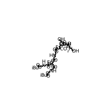 CCC(C)C(=O)OCCNCCC(=O)OCC(CC)(COC(=O)CCNCCOC(=O)C(C)CC)COC(=O)CCNCCOC(=O)C(CC)CC(CC(CC(CC(C)C(=O)OCCCCO)C(=O)OCCO)C(=O)O)C(=O)O